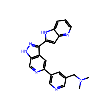 CN(C)Cc1cncc(-c2cc3c(-c4cc5ncccc5[nH]4)n[nH]c3cn2)c1